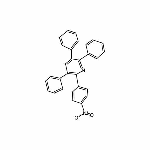 O=[N+]([O-])c1ccc(-c2nc(-c3ccccc3)c(-c3ccccc3)[c]c2-c2ccccc2)cc1